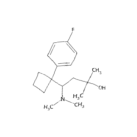 CN(C)C(CC(C)(C)O)C1(c2ccc(F)cc2)CCC1